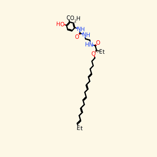 CCC=CCC=CCC=CCC=CCC=CCCCCO[C@H](CC)C(=O)NCCNC(=O)Nc1ccc(O)c(C(=O)O)c1